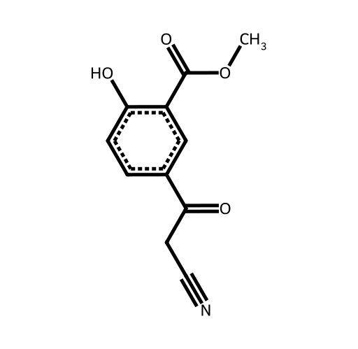 COC(=O)c1cc(C(=O)CC#N)ccc1O